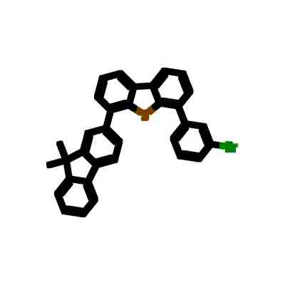 CC1(C)c2ccccc2-c2ccc(-c3cccc4c3sc3c(-c5cccc(Br)c5)cccc34)cc21